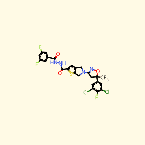 O=C(NNC(=O)c1cc2c(s1)CN(C1=NOC(c3cc(Cl)c(F)c(Cl)c3)(C(F)(F)F)C1)C2)c1cc(F)cc(F)c1